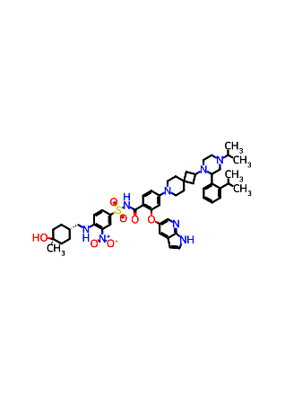 CC(C)c1ccccc1C1CN(C(C)C)CCN1C1CC2(CCN(c3ccc(C(=O)NS(=O)(=O)c4ccc(NC[C@H]5CC[C@](C)(O)CC5)c([N+](=O)[O-])c4)c(Oc4cnc5[nH]ccc5c4)c3)CC2)C1